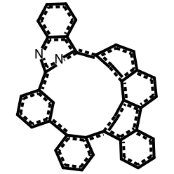 c1cc2cc(c1)c1ccccc1c1cc3c4cc(ccc4ccc3c3ccccc13)c1nc2nc2ccccc21